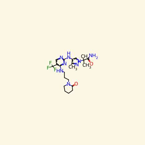 Cc1nn(C(C)(C)C(N)=O)cc1Nc1ncc(C(F)(F)F)c(NCCCN2CCCCC2=O)n1